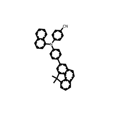 CC1(C)c2cccc3ccc4cc(-c5ccc(N(c6ccc(C#N)cc6)c6cccc7ccccc67)cc5)cc1c4c23